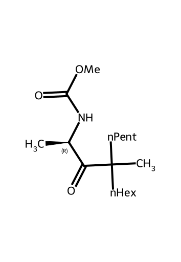 CCCCCCC(C)(CCCCC)C(=O)[C@@H](C)NC(=O)OC